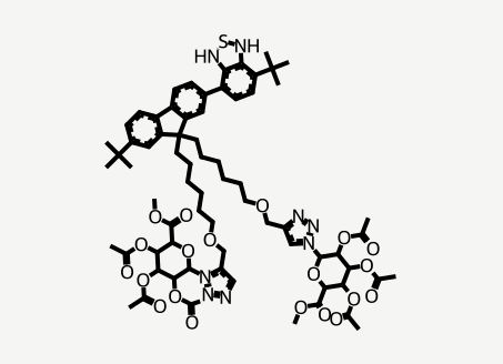 COC(=O)C1OC(n2cc(COCCCCCCC3(CCCCCCOCc4cnnn4C4OC(C(=O)OC)C(OC(C)=O)C(OC(C)=O)C4OC(C)=O)c4cc(-c5ccc(C(C)(C)C)c6c5NSN6)ccc4-c4ccc(C(C)(C)C)cc43)nn2)C(OC(C)=O)C(OC(C)=O)C1OC(C)=O